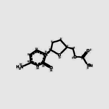 CC(C)(C)C(=O)OC[C@@H]1CC[C@H](n2ccc(N)nc2=O)O1